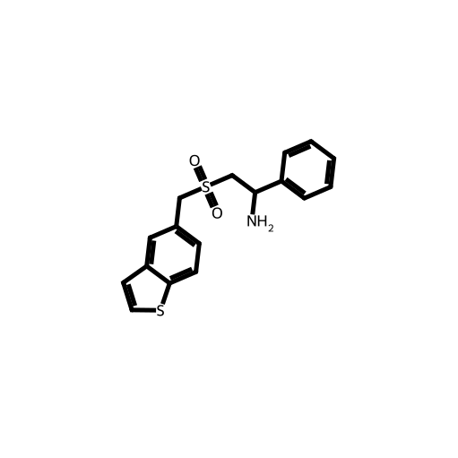 NC(CS(=O)(=O)Cc1ccc2sccc2c1)c1ccccc1